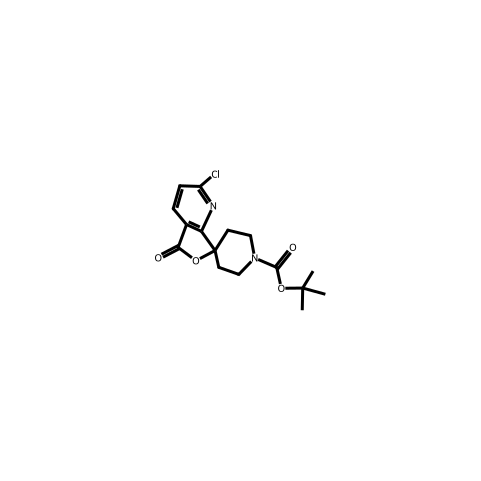 CC(C)(C)OC(=O)N1CCC2(CC1)OC(=O)c1ccc(Cl)nc12